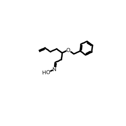 C=CCCC(CC=NO)OCc1ccccc1